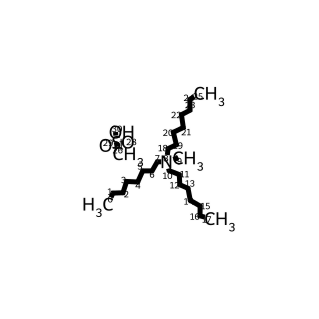 CCCCCCCC[N+](C)(CCCCCCCC)CCCCCCCC.CS(=O)(=O)O